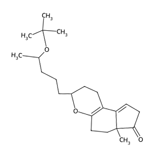 CC(CCCC1CCC2=C(CCC3(C)C(=O)CC=C23)O1)OC(C)(C)C